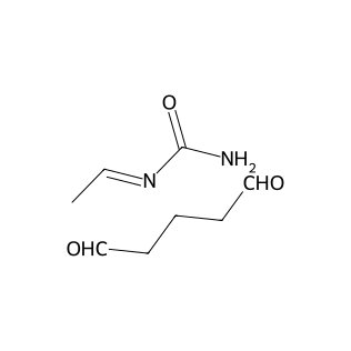 CC=NC(N)=O.O=CCCCC=O